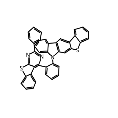 c1ccc(-c2nc(-c3ccccc3-n3c4ccccc4c4cc5c(cc43)sc3ccccc35)c3c(n2)sc2ccccc23)cc1